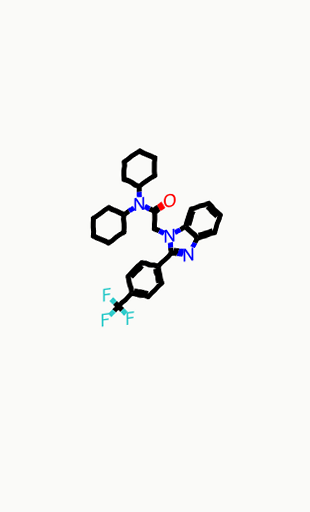 O=C(Cn1c(-c2ccc(C(F)(F)F)cc2)nc2ccccc21)N(C1CCCCC1)C1CCCCC1